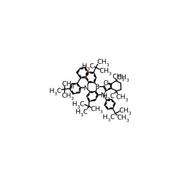 CC(C)(C)c1ccc(N2c3cc(C(C)(C)C)cc4c3B(c3cc(C(C)(C)C)ccc3N4c3ccc(C(C)(C)C)cc3-c3ccccc3)c3oc4c(c32)C(C)(C)CCC4(C)C)cc1